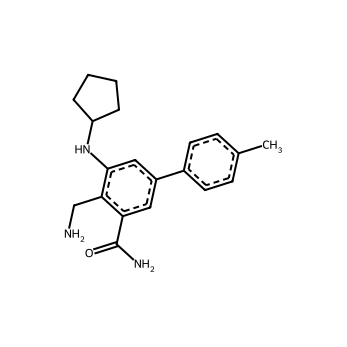 Cc1ccc(-c2cc(NC3CCCC3)c(CN)c(C(N)=O)c2)cc1